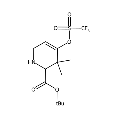 CC(C)(C)OC(=O)C1NCC=C(OS(=O)(=O)C(F)(F)F)C1(C)C